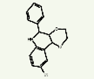 CCc1ccc2c(c1)C1OCCOC1C(c1ccccc1)N2